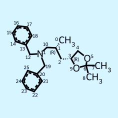 C[C@H](C[C@@H]1COC(C)(C)O1)CN(Cc1ccccc1)Cc1ccccc1